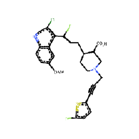 COc1ccc2ncc(Cl)c(C(F)CCC3CCN(CC#Cc4ccc(F)s4)CC3C(=O)O)c2c1